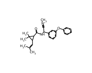 C[N+]#CC(NC(=O)C1C(C=C(C)C)C1(C)C)c1cccc(Oc2ccccc2)c1